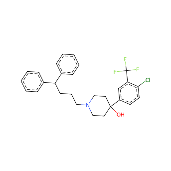 OC1(c2ccc(Cl)c(C(F)(F)F)c2)CCN(CCCC(c2ccccc2)c2ccccc2)CC1